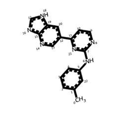 Cc1cccc(Nc2nccc(-c3cnc4nc[nH]c4c3)n2)c1